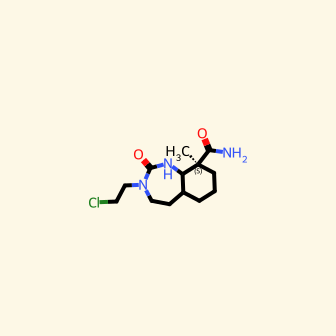 C[C@]1(C(N)=O)CCCC2CCN(CCCl)C(=O)NC21